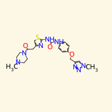 CN1CCN(C(=O)Cc2csc(NC(=O)Nc3ccc(OCc4cn(C)nn4)cc3)n2)CC1